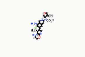 Cc1c(-c2cc3cc(N(C(=O)O)[C@@H]4COC[C@@H]4C#N)ncc3c(N)c2F)cnc2c1NCCO2